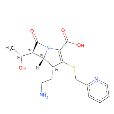 C[C@@H](O)[C@H]1C(=O)N2C(C(=O)O)=C(SCc3ccccn3)[C@H](CCN)[C@H]12